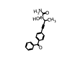 CC(C#Cc1ccc(C(=O)c2ccccc2)cc1)N(O)C(N)=O